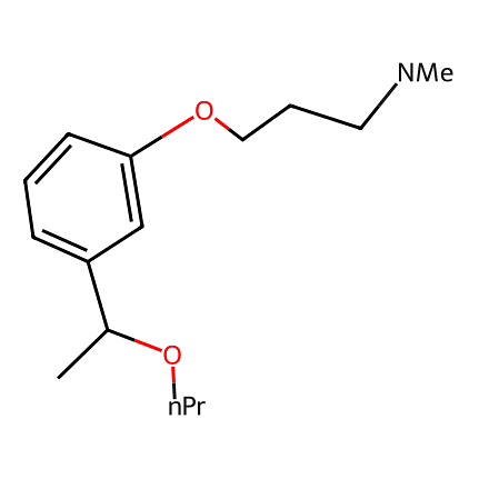 CCCOC(C)c1cccc(OCCCNC)c1